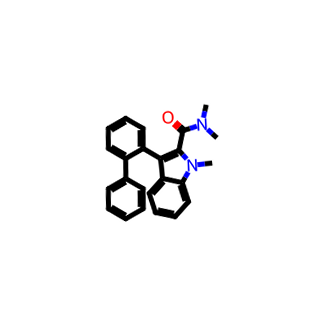 CN(C)C(=O)c1c(-c2ccccc2-c2ccccc2)c2ccccc2n1C